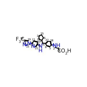 O=C(O)CCNc1ccc(C(Nc2ccc(-n3cnc(C(F)(F)F)c3)nc2)C2CCCC2)cc1